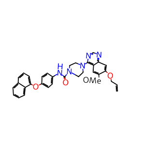 C=CCOc1cc2ncnc(N3CCN(C(=O)Nc4ccc(Oc5cccc6ccccc56)cc4)CC3)c2cc1OC